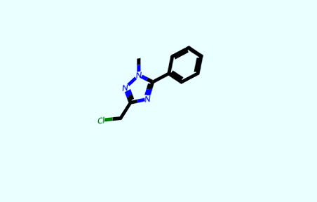 Cn1nc(CCl)nc1-c1ccccc1